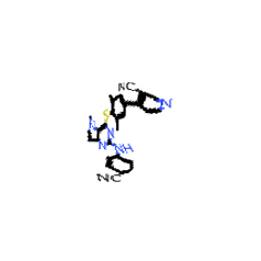 Cc1cc(-c2ccncc2C#N)cc(C)c1Sc1nc(Nc2ccc(C#N)cc2)nc2ccn(C)c12